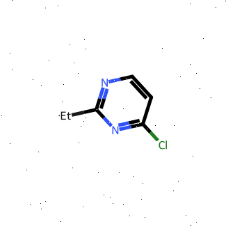 C[CH]c1nccc(Cl)n1